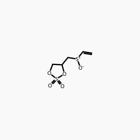 C=C[S+]([O-])CC1COS(=O)(=O)O1